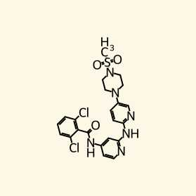 CS(=O)(=O)N1CCN(c2ccc(Nc3cc(NC(=O)c4c(Cl)cccc4Cl)ccn3)nc2)CC1